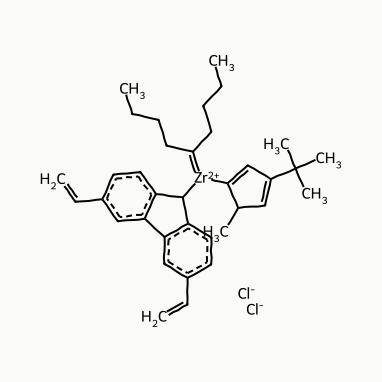 C=Cc1ccc2c(c1)-c1cc(C=C)ccc1[CH]2[Zr+2]([C]1=CC(C(C)(C)C)=CC1C)=[C](CCCC)CCCC.[Cl-].[Cl-]